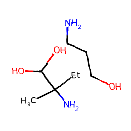 CCC(C)(N)C(O)O.NCCCO